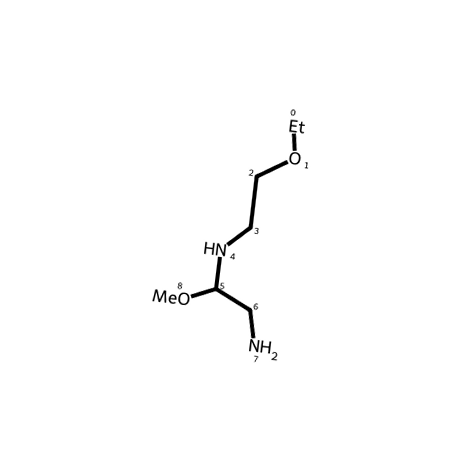 CCOCCNC(CN)OC